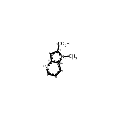 Cn1c(C(=O)O)cc2ncccc21